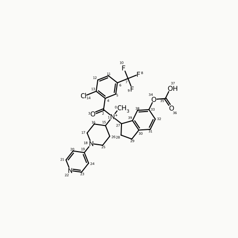 C[N+](C(=O)c1cc(C(F)(F)F)ccc1Cl)(C1CCN(c2ccncc2)CC1)C1CCc2ccc(OC(=O)O)cc21